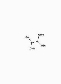 CCCCC(OC)C(CCCC)OC